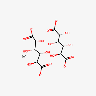 O=C([O-])[C@@H](O)[C@@H](O)[C@H](O)[C@@H](O)C(=O)[O-].O=C([O-])[C@@H](O)[C@@H](O)[C@H](O)[C@@H](O)C(=O)[O-].[Sn+4]